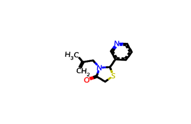 C=C(C)CN1C(=O)CSC1c1cccnc1